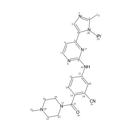 Cc1ncc(-c2ccnc(Nc3ccc(C(=O)N4CCN(C)CC4)c(C#N)c3)n2)n1C(C)C